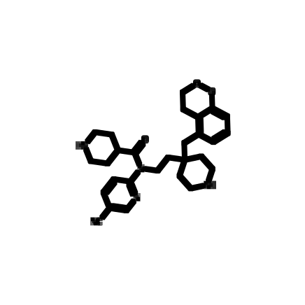 N#Cc1ccc(N(CCC2(Cc3cccc4c3CCOO4)CCNCC2)C(=O)C2CCNCC2)nc1